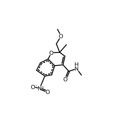 CNC(=O)C1=CC(C)(COC)Oc2ccc([N+](=O)[O-])cc21